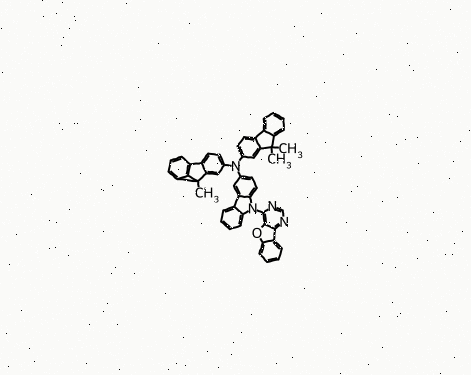 CC1(C)c2ccccc2-c2ccc(N(c3ccc4c(c3)C3(C)c5cccc-4c53)c3ccc4c(c3)c3ccccc3n4-c3ncnc4c3oc3ccccc34)cc21